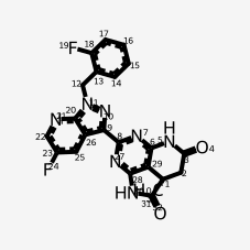 CC12CC(=O)Nc3nc(-c4nn(Cc5ccccc5F)c5ncc(F)cc45)nc(c31)NC2=O